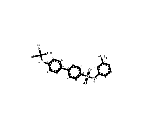 Cc1cccc(NS(=O)(=O)c2ccc(-c3ccc(OC(F)(F)F)cc3)cc2)c1